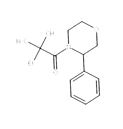 CCC(C)(C)C(=O)N1CCOCC1c1ccccc1